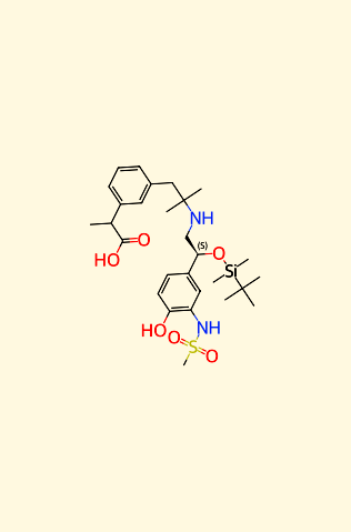 CC(C(=O)O)c1cccc(CC(C)(C)NC[C@@H](O[Si](C)(C)C(C)(C)C)c2ccc(O)c(NS(C)(=O)=O)c2)c1